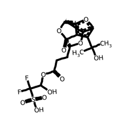 CC(C)(O)c1c2c3oc1c(OC(=O)CCC(=O)OC(O)C(F)(F)S(=O)(=O)O)c3OC2=O